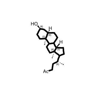 CC(=O)CC[C@@H](C)C1CC[C@H]2C3CC[C@@H]4C[C@H](O)CC[C@]4(C)C3CC[C@]12C